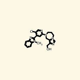 Cn1c(-c2cc(N3CCCn4cnc(CO)c4C3)ncc2Cl)nc2ccccc21